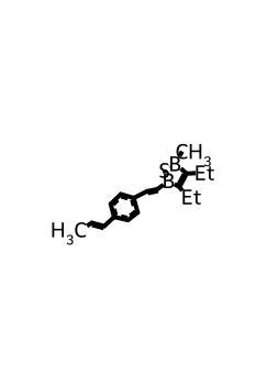 C/C=C/c1ccc(/C=C/B2SB(C)C(CC)=C2CC)cc1